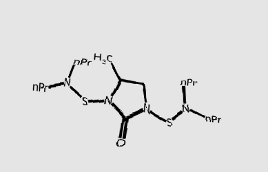 CCCN(CCC)SN1CC(C)N(SN(CCC)CCC)C1=O